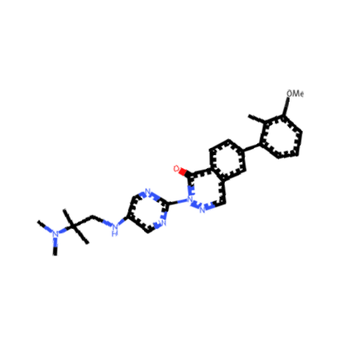 COc1cccc(-c2ccc3c(=O)n(-c4ncc(NCC(C)(C)N(C)C)cn4)ncc3c2)c1C